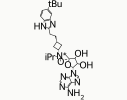 CC(C)[N+]([O-])(CC1O[C@@H](n2cnc3c(N)ncnc32)[C@H](O)[C@@H]1O)[C@H]1C[C@H](CCc2nc3cc(C(C)(C)C)ccc3[nH]2)C1